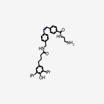 CC(C)c1cc(CCCC(=O)NCc2ccc(/C=C\c3ccc(C(=O)NCCN)cc3)cc2)cc(C(C)C)c1O